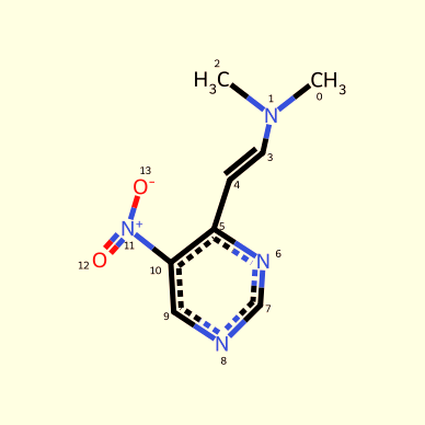 CN(C)C=Cc1ncncc1[N+](=O)[O-]